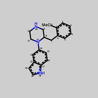 COc1ccccc1CC1CNCCN1c1ccc2[nH]ccc2c1